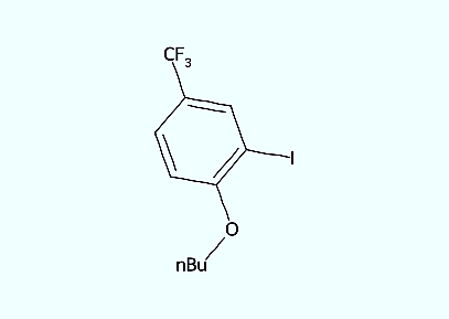 CCCCOc1ccc(C(F)(F)F)cc1I